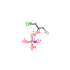 O=P(O)(O)O.OC(CCl)CCl